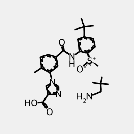 CC(C)(C)CN.Cc1ccc(C(=O)Nc2cc(C(C)(C)C)ccc2[S@@+](C)[O-])cc1-n1cnc(C(=O)O)c1